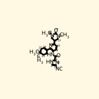 [C-]#[N+]c1c[nH]c(C(=O)Nc2ccc(C3CN(C)C(=O)N(C)C3)nc2C2=CCC(C)(C)CC2)n1